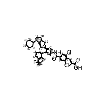 CC(=Cc1c(Cl)cc(C(=O)Nc2nc(-c3cccc(C(F)(F)F)c3F)c(N3C=C4C(CCN4C4CCCCC4)C3)s2)cc1Cl)C(=O)O